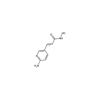 CCCNC(=O)/C=C/c1ccc(N)nc1